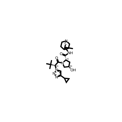 CC1(NC(=O)[C@@H]2C[C@@H](O)CN2C(=O)[C@@H](n2cc(C3CC3)nn2)C(C)(C)C)CN2CCC1CC2